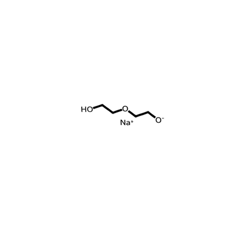 [Na+].[O-]CCOCCO